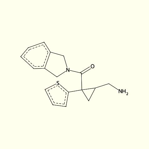 NCC1CC1(C(=O)N1Cc2ccccc2C1)c1cccs1